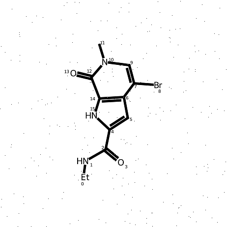 CCNC(=O)c1cc2c(Br)cn(C)c(=O)c2[nH]1